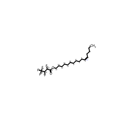 CCCC/C=C\CCCCCCCCCCOC(=O)C(F)C(F)C(F)(F)F